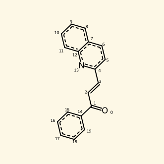 O=C(C=Cc1ccc2ccccc2n1)c1ccccc1